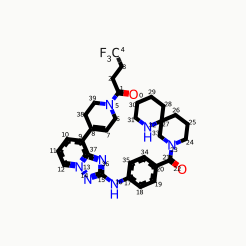 O=C(CCC(F)(F)F)N1CC=C(c2cccn3nc(Nc4ccc(C(=O)N5CCCC6(CCCCN6)C5)cc4)nc23)CC1